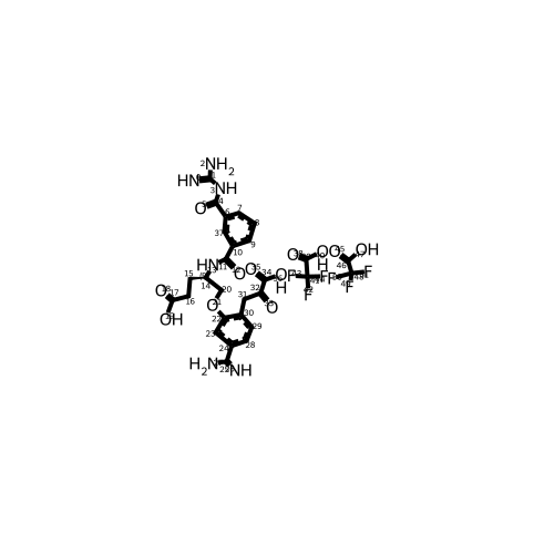 N=C(N)NC(=O)c1cccc(C(=O)N[C@H](CCC(=O)O)COc2cc(C(=N)N)ccc2CC(=O)C(=O)O)c1.O=C(O)C(F)(F)F.O=C(O)C(F)(F)F